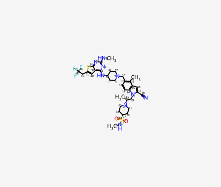 CNc1nc(NC2CCN(Cc3ccc4c(cc(C#N)n4C[C@H](C)N4CCC(S(=O)(=O)NC)CC4)c3C)CC2)c2cc(CC(F)(F)F)sc2n1